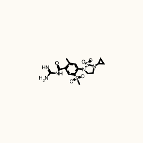 Cc1cc(N2CCN(C3CC3)S2(=O)=O)c(S(C)(=O)=O)cc1C(=O)NC(=N)N